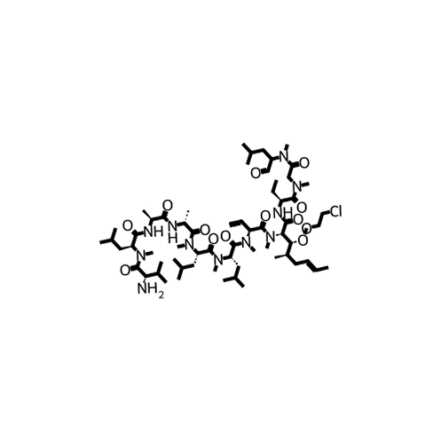 C=C[C@@H](C(=O)N(C)[C@H](C(=O)N[C@@H](CC)C(=O)N(C)CC(=O)N(C)C(C=O)CC(C)C)[C@H](OOCCCl)[C@H](C)C/C=C/C)N(C)C(=O)[C@H](CC(C)C)N(C)C(=O)[C@H](CC(C)C)N(C)C(=O)[C@@H](C)NC(=O)[C@H](C)NC(=O)[C@H](CC(C)C)N(C)C(=O)[C@@H](N)C(C)C